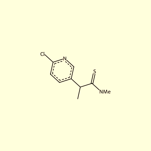 CNC(=S)C(C)c1ccc(Cl)nc1